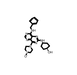 [O-][S+]1CCN(c2nc(N[C@H]3CC[C@H](O)CC3)nc3c(NCc4ccccc4)ncnc23)CC1